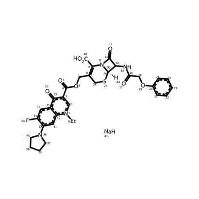 CCn1cc(C(=O)OCC2=C(C(=O)O)N3C(=O)C(NC(=O)COc4ccccc4)[C@H]3SC2)c(=O)c2cc(F)c(N3CCCC3)cc21.[NaH]